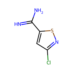 N=C(N)c1cc(Cl)ns1